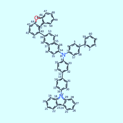 c1ccc(-c2ccc(N(c3ccc(-c4ccc(-n5c6ccccc6c6ccccc65)cc4)cc3)c3ccc4cc(-c5cccc6oc7ccccc7c56)ccc4c3)cc2)cc1